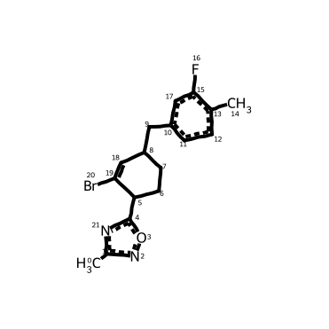 Cc1noc(C2CCC(Cc3ccc(C)c(F)c3)C=C2Br)n1